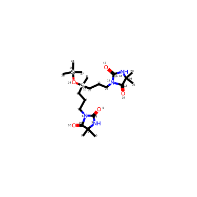 CC1(C)NC(=O)N(CCC[Si](C)(CCCN2C(=O)NC(C)(C)C2=O)O[Si](C)(C)C)C1=O